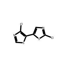 Clc1ncc(-c2s[c]nc2Cl)s1